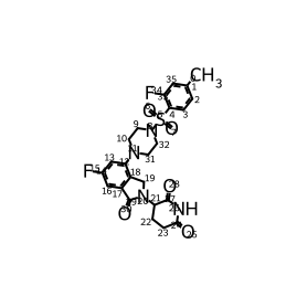 Cc1ccc(S(=O)(=O)N2CCN(c3cc(F)cc4c3CN(C3CCC(=O)NC3=O)C4=O)CC2)c(F)c1